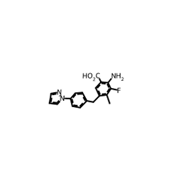 Cc1c(Cc2ccc(-n3cccn3)cc2)cc(C(=O)O)c(N)c1F